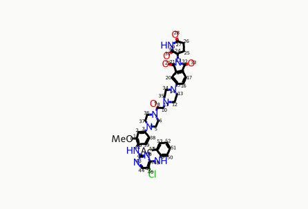 COc1cc(N2CCN(C(=O)CN3CCN(c4ccc5c(c4)C(=O)N(C4CCC(=O)NC4=O)C5=O)CC3)CC2)ccc1Nc1ncc(Cl)c(Nc2ccccc2C(C)=O)n1